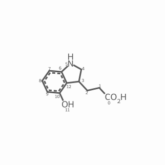 O=C(O)CCC1CNc2cccc(O)c21